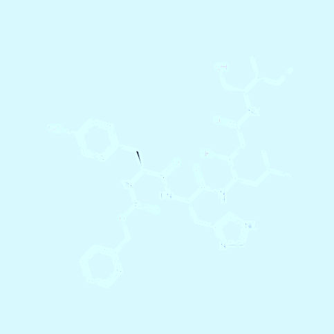 CCC(C)[C@@H](CO)NC(=O)CC(O)C(CC(C)C)NC(=O)[C@H](Cc1c[nH]cn1)NC(=O)[C@H](Cc1ccc(O)cc1)NC(=O)OCc1ccccc1